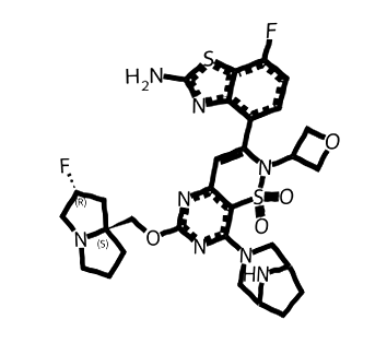 Nc1nc2c(C3=Cc4nc(OC[C@@]56CCCN5C[C@H](F)C6)nc(N5CC6CCC(C5)N6)c4S(=O)(=O)N3C3COC3)ccc(F)c2s1